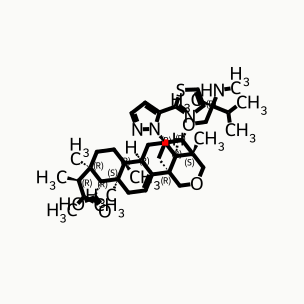 CN[C@@](C)(CO[C@H]1[C@H](n2nccc2-c2nccs2)C[C@@]23COC[C@]1(C)[C@@H]2CC[C@H]1C3=CC[C@@]2(C)[C@H](C(=O)O)[C@@](C)([C@H](C)C(C)C)CC[C@]12C)C(C)C